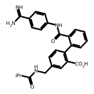 CC(C)C(=O)NCc1ccc(-c2ccccc2C(=O)Nc2ccc(C(=N)N)cc2)c(C(=O)O)c1